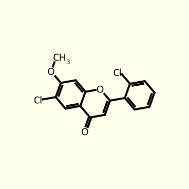 COc1cc2oc(-c3ccccc3Cl)cc(=O)c2cc1Cl